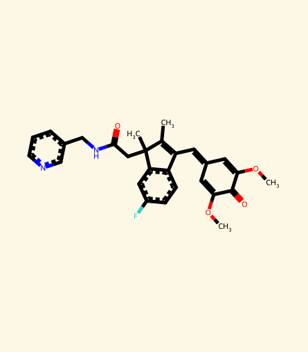 COC1=CC(=CC2=C(C)C(C)(CC(=O)NCc3cccnc3)c3cc(F)ccc32)C=C(OC)C1=O